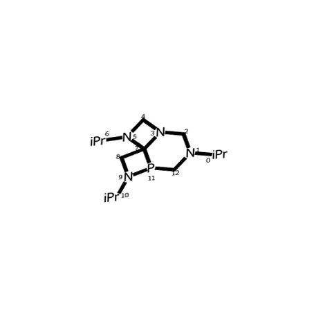 CC(C)N1CN2CN(C(C)C)C23CN(C(C)C)P3C1